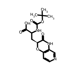 CC(C)(C)OC(=O)NC(C[C@@H]1Oc2ccncc2NC1=O)C(=O)O